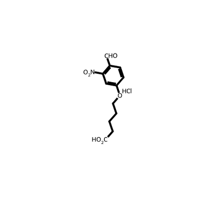 Cl.O=Cc1ccc(OCCCCC(=O)O)cc1[N+](=O)[O-]